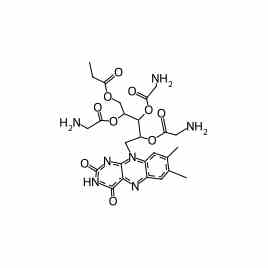 CCC(=O)OCC(OC(=O)CN)C(OC(=O)CN)C(Cn1c2nc(=O)[nH]c(=O)c-2nc2cc(C)c(C)cc21)OC(=O)CN